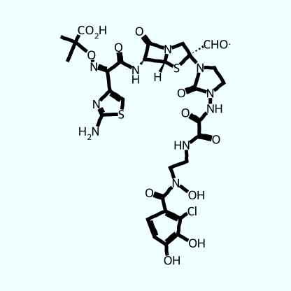 CC(C)(O/N=C(\C(=O)N[C@@H]1C(=O)N2C[C@@]([C]=O)(N3CCN(NC(=O)C(=O)NCCN(O)C(=O)c4ccc(O)c(O)c4Cl)C3=O)S[C@H]12)c1csc(N)n1)C(=O)O